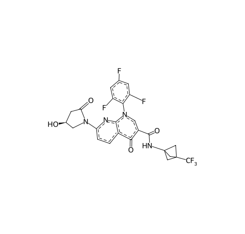 O=C(NC12CC(C(F)(F)F)(C1)C2)c1cn(-c2c(F)cc(F)cc2F)c2nc(N3C[C@@H](O)CC3=O)ccc2c1=O